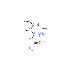 CCCC(CC)C(C)C(N)CC(=O)O